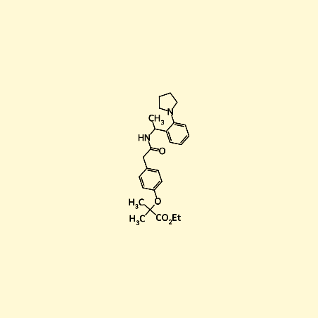 CCOC(=O)C(C)(C)Oc1ccc(CC(=O)NC(C)c2ccccc2N2CCCC2)cc1